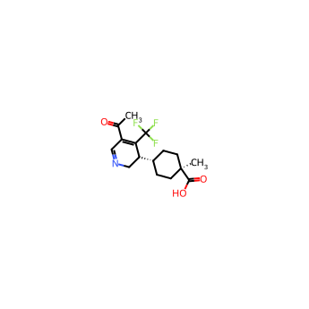 CC(=O)C1=C(C(F)(F)F)C([C@H]2CC[C@](C)(C(=O)O)CC2)CN=C1